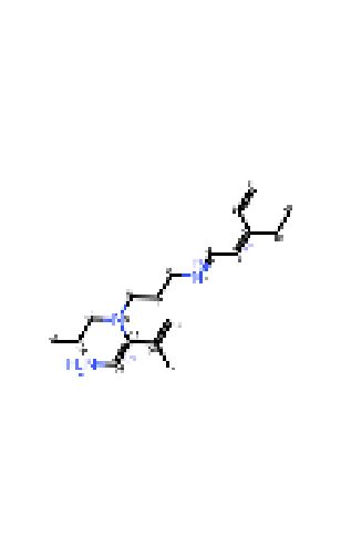 C=C/C(=C\C=N\CCCN(CCC)/C(=C\N)C(=C)C)CC